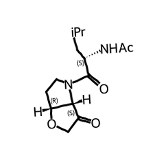 CC(=O)N[C@@H](CC(C)C)C(=O)N1CC[C@H]2OCC(=O)[C@H]21